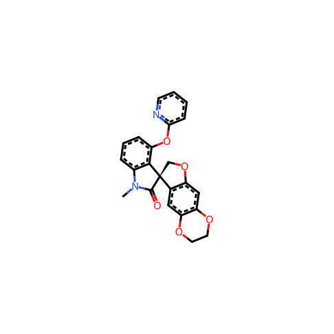 CN1C(=O)[C@]2(COc3cc4c(cc32)OCCO4)c2c(Oc3ccccn3)cccc21